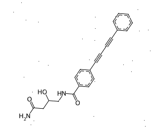 NC(=O)CC(O)CNC(=O)c1ccc(C#CC#Cc2ccccc2)cc1